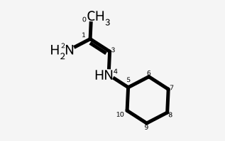 CC(N)=CNC1CCCCC1